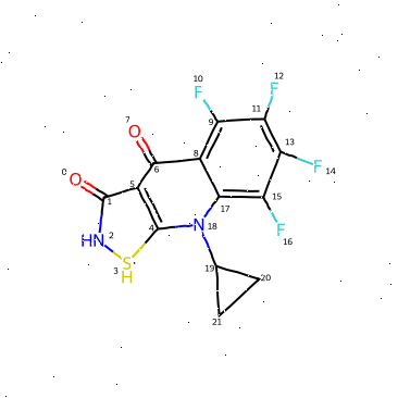 O=C1N[SH]c2c1c(=O)c1c(F)c(F)c(F)c(F)c1n2C1CC1